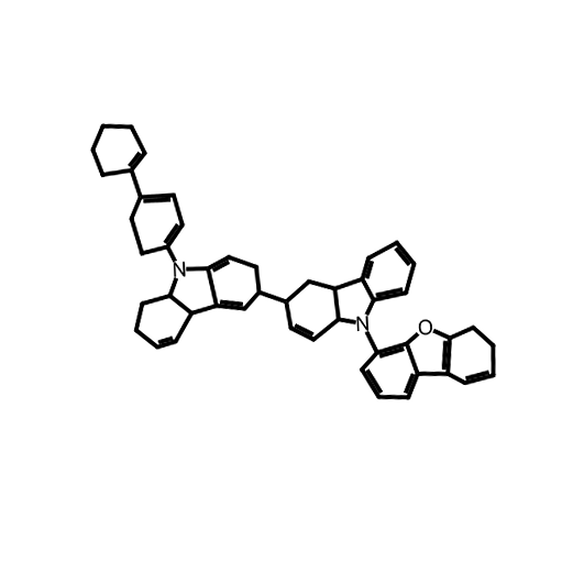 C1=Cc2c(oc3c(N4c5ccccc5C5CC(C6C=C7C(=CC6)N(C6=CC=C(C8=CCCCC8)CC6)C6CCC=CC76)C=CC54)cccc23)CC1